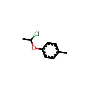 Cc1ccc(OC(C)Cl)cc1